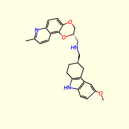 COc1ccc2[nH]c3c(c2c1)C[C@H](CNC[C@H]1COc2ccc4nc(C)ccc4c2O1)CC3